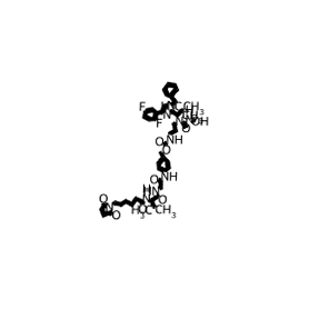 CC(C)C(NC(=O)CCCCCN1C(=O)C=CC1=O)C(=O)NCC(=O)Nc1ccc(COC(=O)NCCCN(C(=O)NO)[C@@H](c2nc(-c3cc(F)ccc3F)cn2Cc2ccccc2)C(C)(C)C)cc1